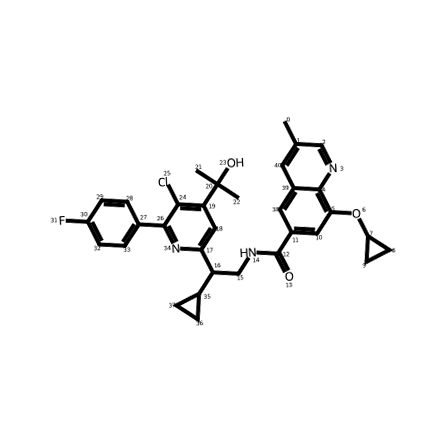 Cc1cnc2c(OC3CC3)cc(C(=O)NCC(c3cc(C(C)(C)O)c(Cl)c(-c4ccc(F)cc4)n3)C3CC3)cc2c1